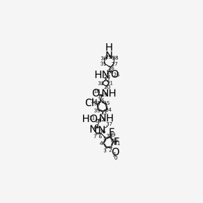 COc1ccc(-c2cnc(C(O)Nc3ccc(C(=O)N[C@H]4C[C@@H](NC(=O)C5CCNCC5)C4)c(Cl)c3)n2C)c(F)c1F